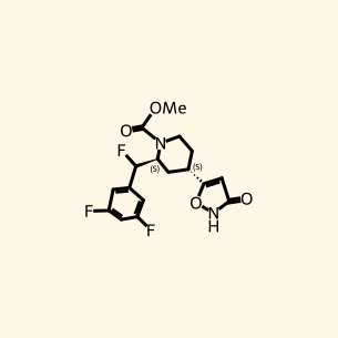 COC(=O)N1CC[C@H](c2cc(=O)[nH]o2)C[C@H]1C(F)c1cc(F)cc(F)c1